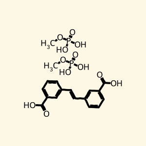 COP(=O)(O)O.COP(=O)(O)O.O=C(O)c1cccc(C=Cc2cccc(C(=O)O)c2)c1